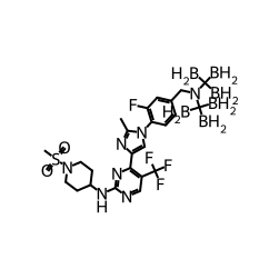 BC(B)(B)N(Cc1ccc(-n2cc(-c3nc(NC4CCN(S(C)(=O)=O)CC4)ncc3C(F)(F)F)nc2C)c(F)c1)C(B)(B)B